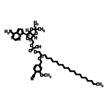 CCCCCCCCCCCCCCCCCCC[C@H](COP(=O)(O)OC[C@H]1O[C@@H](c2ccc3c(N)ncnn23)[C@@H]2OC(C)(C)O[C@@H]21)OCc1ccc(C#N)c(OC)c1